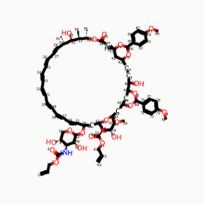 C=CCOC(=O)N[C@H]1[C@H](O)COC(OC2/C=C/C=C/C=C/C=C/C=C/C=C/C=C/[C@H](C)[C@@H](O)[C@@H](C)[C@H](C)OC(=O)C[C@H]3CC(CCC(O)C4CC(CC5(OC)C[C@H](O)[C@@H](C(=O)OCC=C)[C@H](C2)O5)OC(c2ccc(OC)cc2)O4)OC(c2ccc(OC)cc2)O3)[C@H]1O